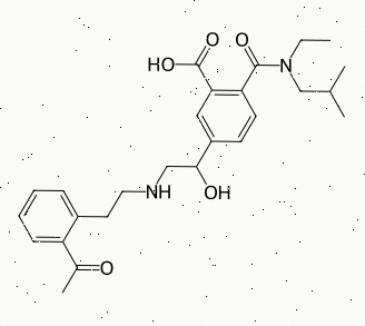 CCN(CC(C)C)C(=O)c1ccc(C(O)CNCCc2ccccc2C(C)=O)cc1C(=O)O